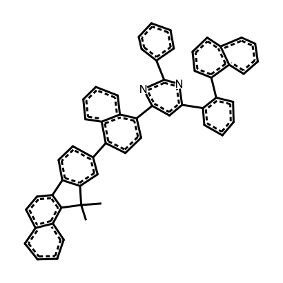 CC1(C)c2cc(-c3ccc(-c4cc(-c5ccccc5-c5cccc6ccccc56)nc(-c5ccccc5)n4)c4ccccc34)ccc2-c2ccc3ccccc3c21